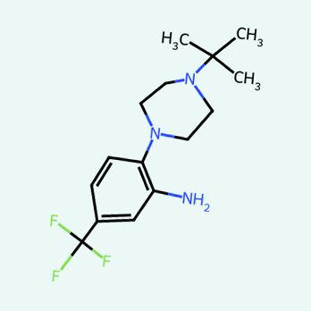 CC(C)(C)N1CCN(c2ccc(C(F)(F)F)cc2N)CC1